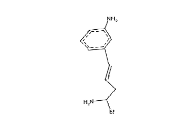 CCC(N)CC=Cc1cccc(N)c1